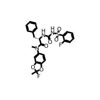 CN(C(=O)[C@H](Cc1ccccc1)NC(=O)NS(=O)(=O)c1ccccc1F)c1ccc2c(c1)OC(C)(F)O2